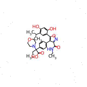 CCNC(=O)c1noc(-c2cc(C(C)C)c(O)cc2O)c1-c1ccc(C(CC)(C(=O)O)N2CCOCC2)cc1